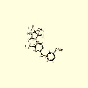 COc1cccc(Oc2ccc(N3C(=O)NC(C)(C)C3=O)c(N)n2)c1